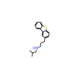 CC(C)CNCCCc1ccc2sc3ccccc3c2c1